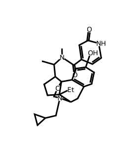 CCC12CCC(C(C)N(C)C(=O)c3cc[nH]c(=O)c3)C13CCN(CC1CC1)C2Cc1ccc(O)cc13